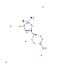 N[C@]12CN(C3CCC(O)CC3)C[C@H]1[C@@H]2I